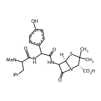 CNC(CC(C)C)C(=O)NC(C(=O)NC1C(=O)N2[C@@H]1SC(C)(C)[C@@H]2C(=O)O)c1ccc(O)cc1